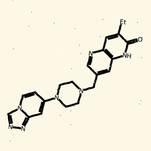 CCc1cc2ncc(CN3CCN(c4ccn5cnnc5c4)CC3)cc2[nH]c1=O